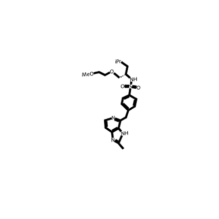 COCCOC[C@H](CC(C)C)NS(=O)(=O)c1ccc(Cc2nccc3nc(C)[nH]c23)cc1